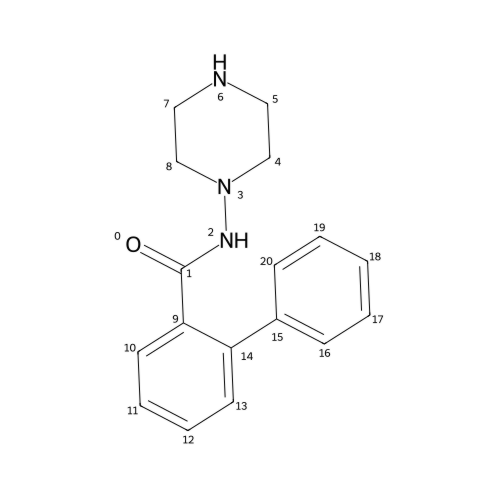 O=C(NN1CCNCC1)c1ccccc1-c1ccccc1